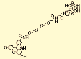 O=C(CCOCCOCCOCCOCCNC(=O)c1ccc(-c2c3ccc(=O)cc-3oc3cc(O)ccc23)c(C(=O)O)c1)NCC(O)C[n+]1cccc(CC(O)(P(=O)(O)O)P(=O)(O)O)c1